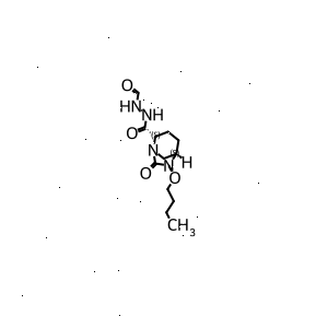 CCCCON1C(=O)N2C[C@@H]1CC[C@H]2C(=O)NNC=O